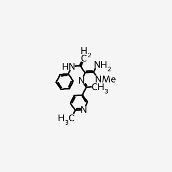 C=C(Nc1ccccc1)C(/N=C(\C)c1ccc(C)nc1)=C(\N)NC